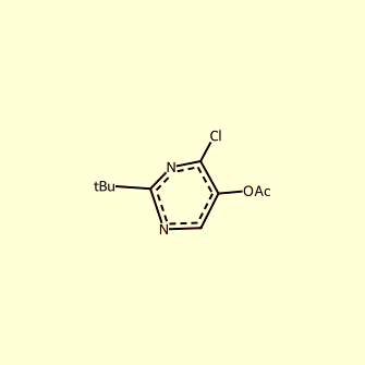 CC(=O)Oc1cnc(C(C)(C)C)nc1Cl